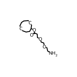 NCCOCCOCCC(=O)OC1CCCCCCCCCC1